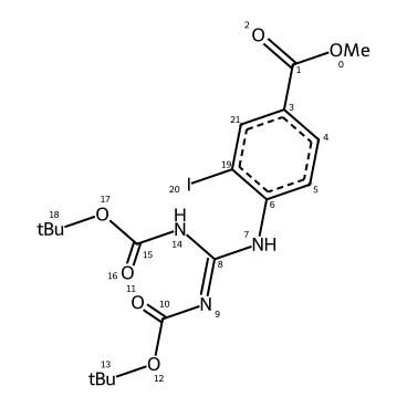 COC(=O)c1ccc(N/C(=N/C(=O)OC(C)(C)C)NC(=O)OC(C)(C)C)c(I)c1